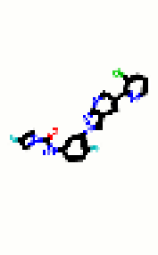 O=C(Nc1ccc(F)c(-n2cc3cc(-c4ncccc4Cl)cnc3n2)c1)N1CC(F)C1